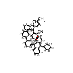 C=C/C=C\c1c(C)c2ccccc2n1-c1c(C#N)cccc1-c1ccccc1-c1cccc(-c2c3ccccc3c(-c3ccccc3)c3ccccc23)c1